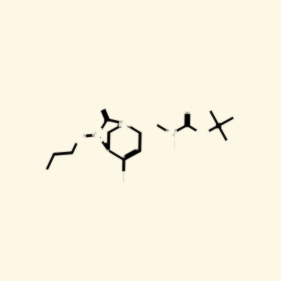 CCCON1C(=O)N2CC1C(I)=C[C@H]2CNC(=O)OC(C)(C)C